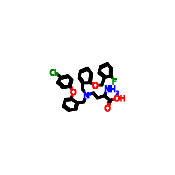 NC(CCN(Cc1ccccc1OCc1ccccc1F)Cc1ccccc1Oc1ccc(Cl)cc1)C(=O)O